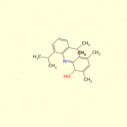 CC1=CC(C)=C(C)C(=Nc2c(C(C)C)cccc2C(C)C)C1O